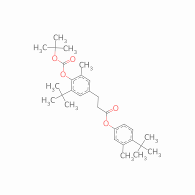 Cc1cc(OC(=O)CCc2cc(C)c(OC(=O)OC(C)(C)C)c(C(C)(C)C)c2)ccc1C(C)(C)C